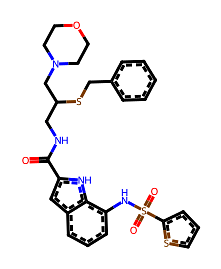 O=C(NCC(CN1CCOCC1)SCc1ccccc1)c1cc2cccc(NS(=O)(=O)c3cccs3)c2[nH]1